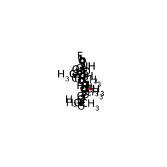 CC(C)C1=C2[C@H]3CC[C@@H]4[C@@]5(C)CC[C@H](OC(=O)CC(C)(C)C(=O)O)C(C)(C)[C@@H]5CC[C@@]4(C)[C@]3(C)CC[C@@]2(C(=O)C(=O)Nc2ccc(F)cc2)CC1=O